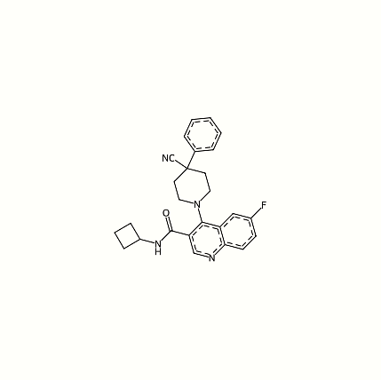 N#CC1(c2ccccc2)CCN(c2c(C(=O)NC3CCC3)cnc3ccc(F)cc23)CC1